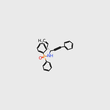 C=CC[C@H](C#Cc1ccccc1)NP(=O)(c1ccccc1)c1ccccc1